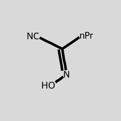 CCC/C(C#N)=N/O